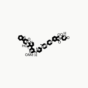 COc1ncc(-c2ccnc(N3CCc4c(sc5c4CCCC5)C3=O)c2[C@H](C)O)cc1Nc1ccc(N2CCN(C3CCN(c4ccc5c(c4)C(=O)N([C@H]4CCC(=O)NC4=O)C5=O)CC3)C[C@@H]2C)cn1